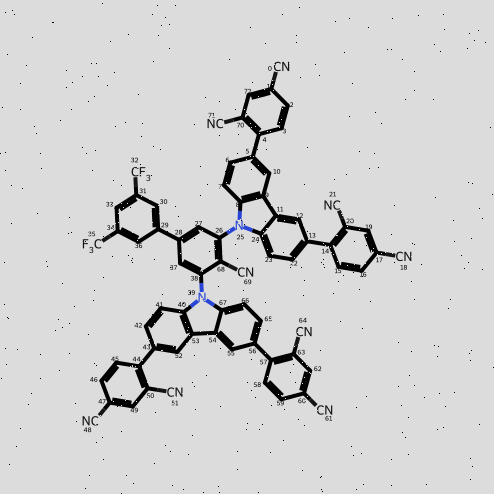 N#Cc1ccc(-c2ccc3c(c2)c2cc(-c4ccc(C#N)cc4C#N)ccc2n3-c2cc(-c3cc(C(F)(F)F)cc(C(F)(F)F)c3)cc(-n3c4ccc(-c5ccc(C#N)cc5C#N)cc4c4cc(-c5ccc(C#N)cc5C#N)ccc43)c2C#N)c(C#N)c1